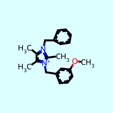 COc1cccc(C[n+]2c(C)c(C)n(Cc3ccccc3)c2C)c1